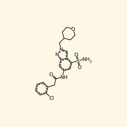 NS(=O)(=O)c1cc(NC(=O)Cc2ccccc2Cl)cc2nn(CC3CCOCC3)cc12